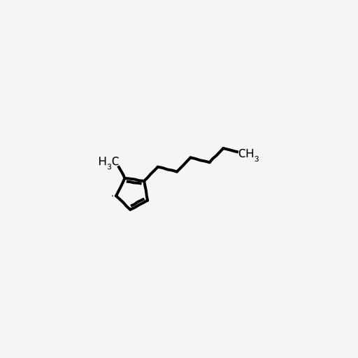 CCCCCCC1=C(C)[CH]C=C1